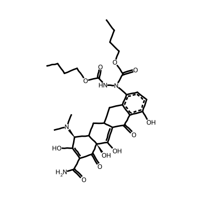 CCCCOC(=O)NN(C(=O)OCCCC)c1ccc(O)c2c1CC1CC3[C@H](N(C)C)C(O)=C(C(N)=O)C(=O)[C@@]3(O)C(O)=C1C2=O